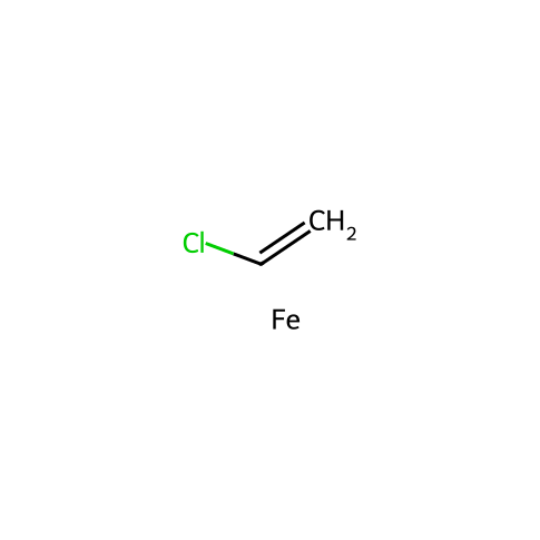 C=CCl.[Fe]